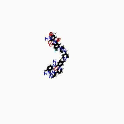 Cc1ccc(NC(=O)c2ccc(CN3CCC(CN4CC5CC4CN5c4cc5c(cc4F)C(=O)N(C4CCC(=O)NC4=O)C5=O)CC3)cc2)cc1Nc1nccc(-c2cccnc2)n1